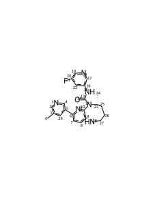 Cc1cncc(-c2ccc3c(n2)N(C(=O)Nc2cncc(F)c2)[C@H](C)CCCN3)c1